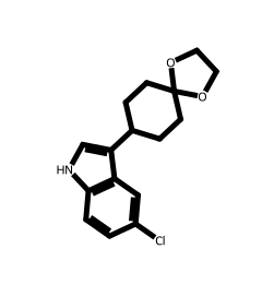 Clc1ccc2[nH]cc(C3CCC4(CC3)OCCO4)c2c1